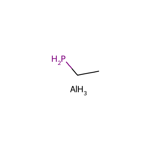 CCP.[AlH3]